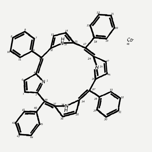 C1=Cc2nc1c(-c1ccccc1)c1ccc([nH]1)c(-c1ccccc1)c1nc(c(-c3ccccc3)c3ccc([nH]3)c2-c2ccccc2)C=C1.[Co]